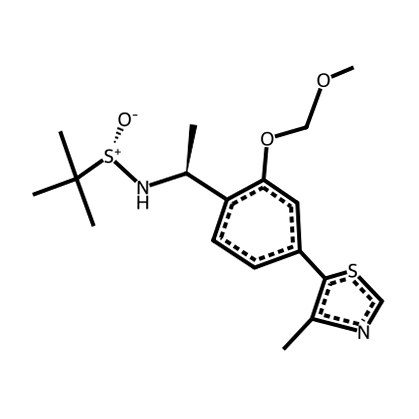 COCOc1cc(-c2scnc2C)ccc1[C@H](C)N[S@@+]([O-])C(C)(C)C